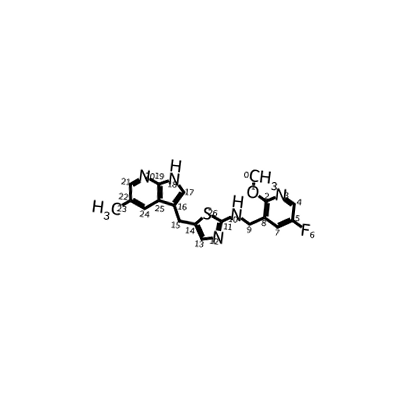 COc1ncc(F)cc1CNc1ncc(Cc2c[nH]c3ncc(C)cc23)s1